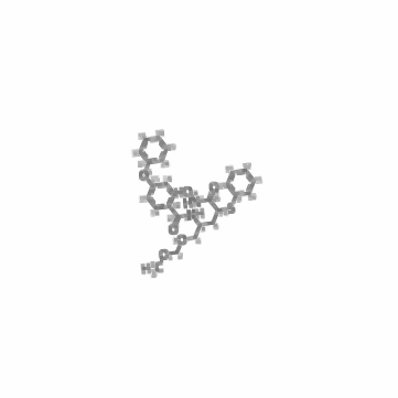 COCOCC(CC(Sc1ccccc1)C(=O)NO)NC(=O)c1ccc(Oc2ccccc2)cc1